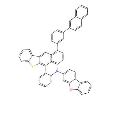 c1cc(-c2ccc(N(c3ccc4c(c3)oc3ccccc34)c3ccccc3-c3cccc4c3sc3ccccc34)cc2)cc(-c2ccc3ccccc3c2)c1